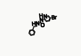 O=C(NCCc1ccccc1)Nc1ccc(Br)cn1